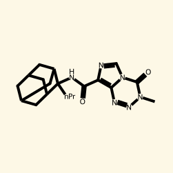 CCCC1(NC(=O)c2ncn3c(=O)n(C)nnc23)C2CC3CC(C2)CC1C3